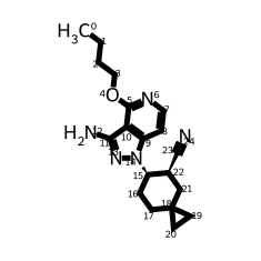 CCCCOc1nccc2c1c(N)nn2[C@H]1CCC2(CC2)C[C@@H]1C#N